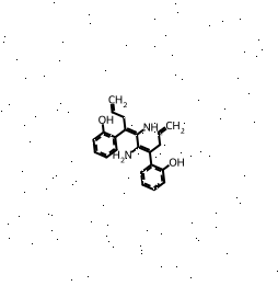 C=CCC(=C(N)C(N)=C(CC=C)c1ccccc1O)c1ccccc1O